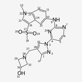 Cc1nn(-c2ccnc(Nc3ccc4c(c3)c(S(C)(=O)=O)cn4C)n2)cc1CN1CC(O)C1